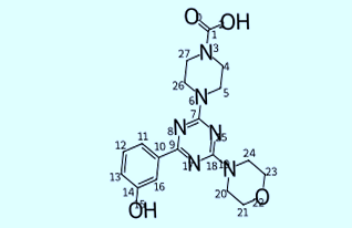 O=C(O)N1CCN(c2nc(-c3cccc(O)c3)nc(N3CCOCC3)n2)CC1